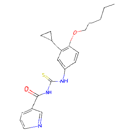 CCCCCOc1ccc(NC(=S)NC(=O)c2cccnc2)cc1C1CC1